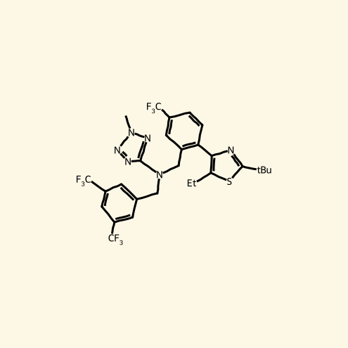 CCc1sc(C(C)(C)C)nc1-c1ccc(C(F)(F)F)cc1CN(Cc1cc(C(F)(F)F)cc(C(F)(F)F)c1)c1nnn(C)n1